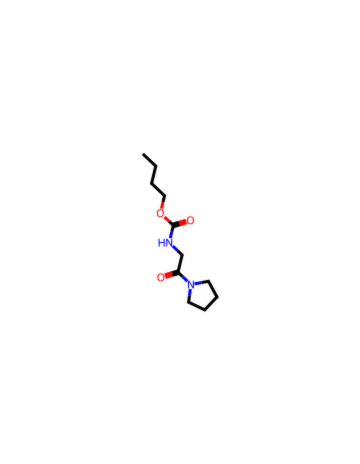 CCCCOC(=O)NCC(=O)N1CCCC1